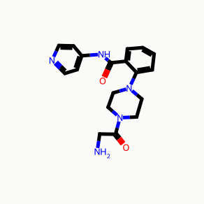 NCC(=O)N1CCN(c2ccccc2C(=O)Nc2ccncc2)CC1